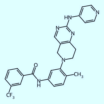 Cc1ccc(NC(=O)c2cccc(C(F)(F)F)c2)cc1N1CCc2nc(Nc3ccncc3)ncc2C1